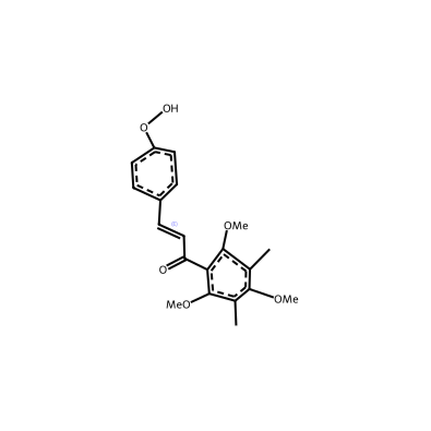 COc1c(C)c(OC)c(C(=O)/C=C/c2ccc(OO)cc2)c(OC)c1C